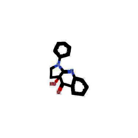 O=C1c2ccccc2N=C2N(c3ccccc3)CC[C@@]12O